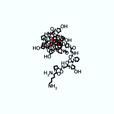 NCCCC[C@H](N)C(=O)N1CCC[C@H]1C(=O)NCC(=O)N1C[C@H](O)C[C@H]1C(=O)N1CCC[C@H]1C(=O)NCC(=O)N1C[C@H](O)C[C@H]1C(=O)N1CCC[C@H]1C(=O)NCC(=O)N1C[C@H](O)C[C@H]1C(=O)N1CCC[C@H]1C(=O)NCC(=O)N1C[C@H](O)C[C@H]1C(=O)N1CCC[C@H]1C(=O)NCC(=O)N1C[C@H](O)C[C@H]1C(=O)N1CCC[C@H]1C(=O)NCC(=O)N1C[C@H](O)C[C@H]1C(=O)N1CCC[C@H]1C(=O)NCC(=O)O